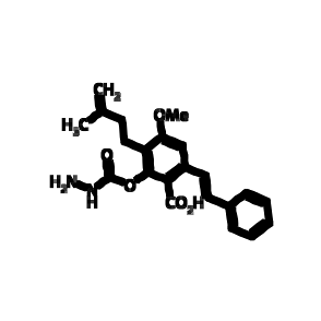 C=C(C)CCc1c(OC)cc(C=Cc2ccccc2)c(C(=O)O)c1OC(=O)NN